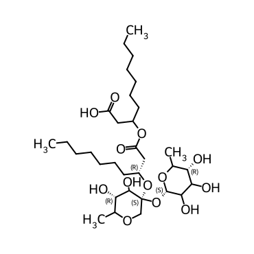 CCCCCCCC(CC(=O)O)OC(=O)C[C@@H](CCCCCCC)O[C@]1(O[C@@H]2OC(C)[C@H](O)C(O)C2O)COC(C)[C@H](O)C1O